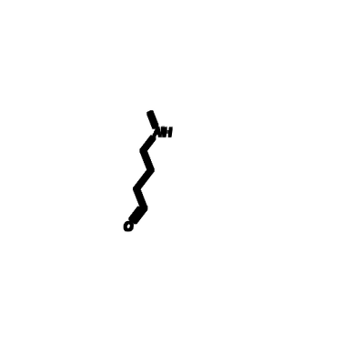 [CH3][AlH][CH2]CCC=O